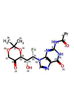 CC(C)C(=O)Nc1nc2c(ncn2[C@@H](F)[C@H](O)[C@@H]2OC(C)(C)OCC2=O)c(=O)[nH]1